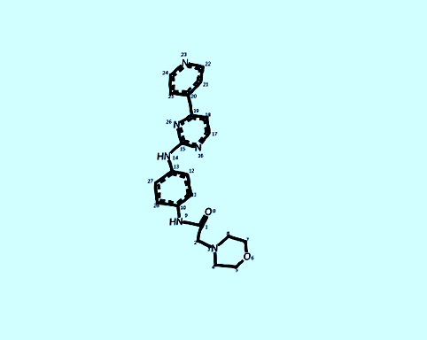 O=C(CN1CCOCC1)Nc1ccc(Nc2nccc(-c3ccncc3)n2)cc1